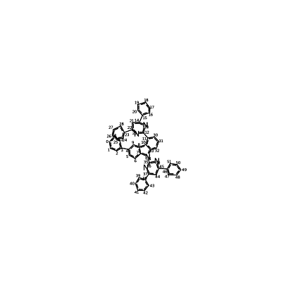 c1ccc(-c2ccc3c(c2)c2c(-c4nc(-c5ccccc5)cc(-c5ccccc5)n4)cccc2n3-c2nc(-c3ccccc3)cc(-c3ccccc3)n2)cc1